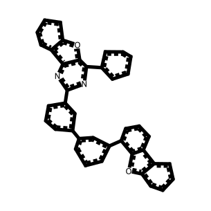 c1ccc(-c2nc(-c3cccc(-c4cccc(-c5cccc6c5oc5ccccc56)c4)c3)nc3c2oc2ccccc23)cc1